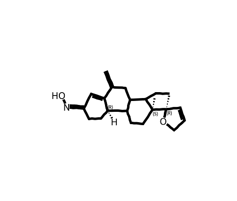 C=C1CC2C(CC[C@@]3(C)C2CC[C@@]32C=CCO2)[C@H]2CCC(=NO)C=C12